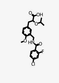 COc1ccc(CC(OC(C)C)C(=O)O)cc1CNC(=O)c1ccc(Cl)cc1F